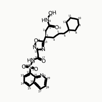 O=C(C[C@@H](CCCC1CCCCC1)c1nc(C(=O)NS(=O)(=O)c2cccc3cccnc23)no1)NO